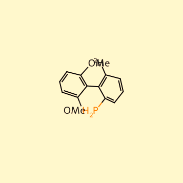 [2H]c1cccc(P)c1-c1c(OC)cccc1OC